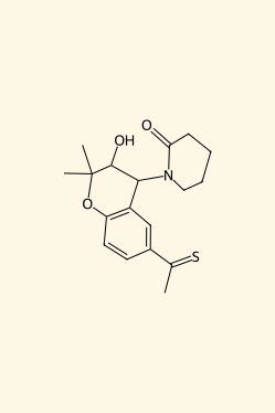 CC(=S)c1ccc2c(c1)C(N1CCCCC1=O)C(O)C(C)(C)O2